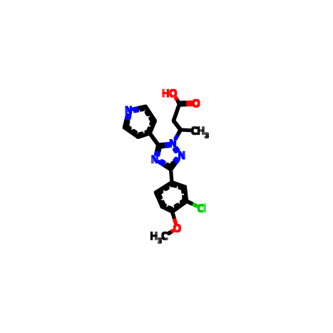 COc1ccc(-c2nc(-c3ccncc3)n(C(C)CC(=O)O)n2)cc1Cl